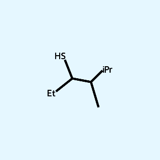 CCC(S)C(C)C(C)C